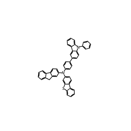 c1ccc(-n2c3ccccc3c3cc(-c4ccc(N(c5ccc6c(c5)Cc5ccccc5-6)c5ccc6c(c5)sc5ccccc56)cc4)ccc32)cc1